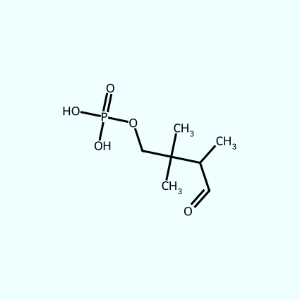 CC(C=O)C(C)(C)COP(=O)(O)O